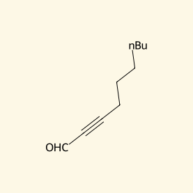 CCCCCCCC#CC=O